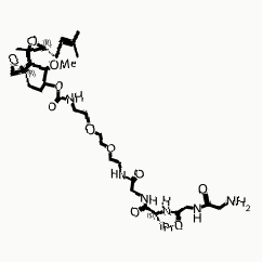 COC1C(OC(=O)NCCOCCOCCNC(=O)CNC(=O)[C@@H](NC(=O)CNC(=O)CN)C(C)C)CC[C@]2(CO2)C1C1(C)O[C@@H]1CC=C(C)C